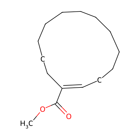 COC(=O)/C1=C/CCCCCCCCCCC1